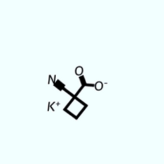 N#CC1(C(=O)[O-])CCC1.[K+]